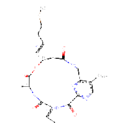 C/C=C1\NC(=O)c2ncc(SC)c(n2)CNC(=O)C[C@@H](/C=C/CCSC(C)=O)OC(=O)[C@H](C)NC1=O